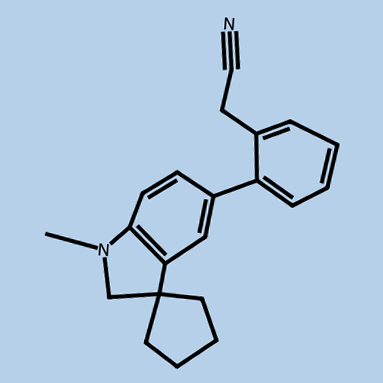 CN1CC2(CCCC2)c2cc(-c3ccccc3CC#N)ccc21